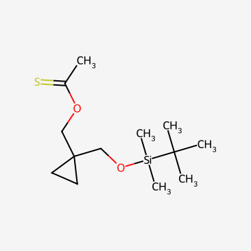 CC(=S)OCC1(CO[Si](C)(C)C(C)(C)C)CC1